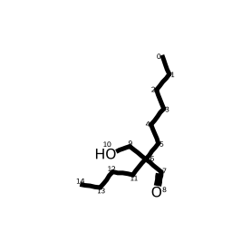 CCCCCCC(C=O)(CO)CCCC